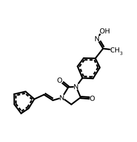 CC(=NO)c1ccc(N2C(=O)CN(C=Cc3ccccc3)C2=O)cc1